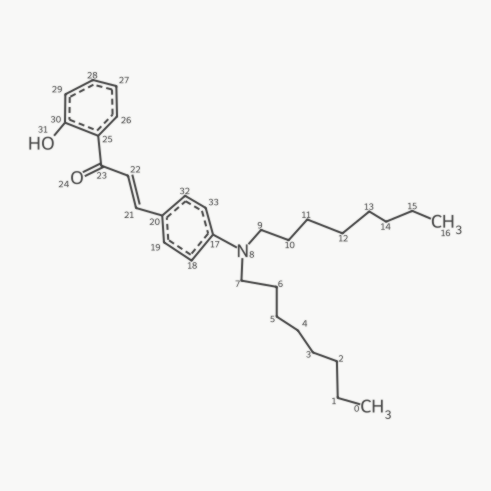 CCCCCCCCN(CCCCCCCC)c1ccc(/C=C/C(=O)c2ccccc2O)cc1